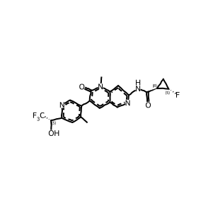 Cc1cc([C@H](O)C(F)(F)F)ncc1-c1cc2cnc(NC(=O)[C@H]3C[C@@H]3F)cc2n(C)c1=O